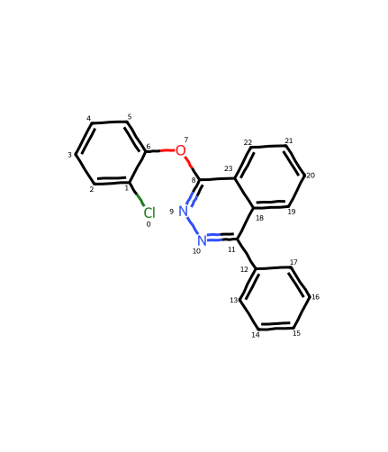 Clc1ccccc1Oc1nnc(-c2ccccc2)c2ccccc12